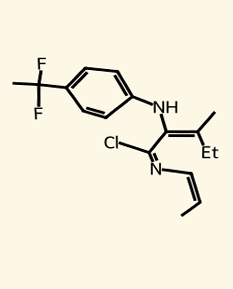 C\C=C/N=C(Cl)\C(Nc1ccc(C(C)(F)F)cc1)=C(\C)CC